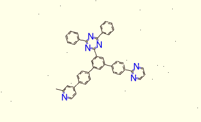 Cc1cc(-c2ccc(-c3cc(-c4ccc(-c5ncccn5)cc4)cc(-c4nc(-c5ccccc5)nc(-c5ccccc5)n4)c3)cc2)ccn1